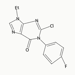 CCn1cnc2c(=O)n(-c3ccc(F)cc3)c(Cl)nc21